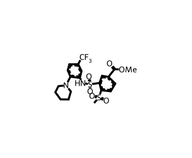 COC(=O)c1ccc(S(C)(=O)=O)c(S(=O)(=O)Nc2cc(C(F)(F)F)ccc2N2CCCCC2)c1